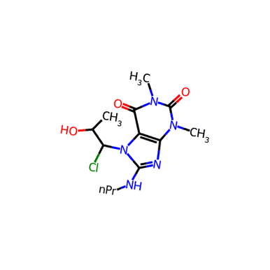 CCCNc1nc2c(c(=O)n(C)c(=O)n2C)n1C(Cl)C(C)O